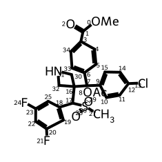 COC(=O)c1ccc(C(OC(C)=O)(c2ccc(Cl)cc2)C2(C(c3cc(F)cc(F)c3)S(C)(=O)=O)CNC2)cc1